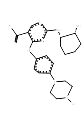 CC(=O)N1CCN(c2ccc(Nc3nc(N[C@@H]4CCCC[C@@H]4N)ncc3C(N)=O)cc2)CC1